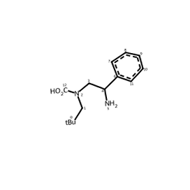 CC(C)(C)CN(CC(N)c1ccccc1)C(=O)O